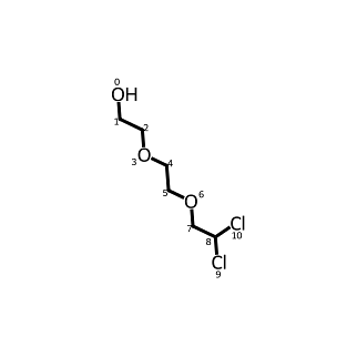 OCCOCCOCC(Cl)Cl